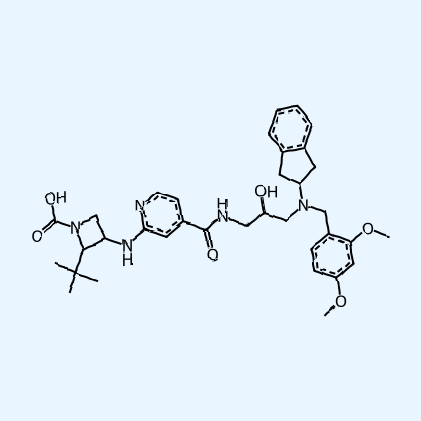 COc1ccc(CN(CC(O)CNC(=O)c2ccnc(NC3CN(C(=O)O)C3C(C)(C)C)c2)C2Cc3ccccc3C2)c(OC)c1